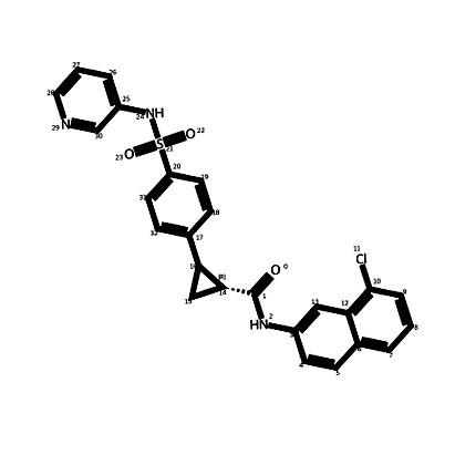 O=C(Nc1ccc2cccc(Cl)c2c1)[C@@H]1CC1c1ccc(S(=O)(=O)Nc2cccnc2)cc1